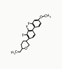 CCC1CCC(c2ccc(-c3ccc(OC)cc3F)c(F)c2F)CO1